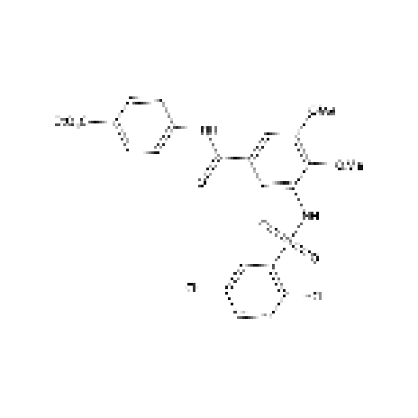 CCOC(=O)c1ccc(NC(=O)c2cc(NS(=O)(=O)c3cc(Cl)ccc3Cl)c(OC)c(OC)c2)cc1